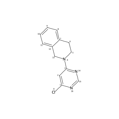 Clc1cc(N2CCc3ccccc3C2)ncn1